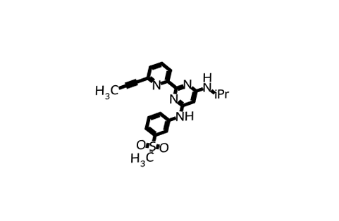 CC#Cc1cccc(-c2nc(Nc3cccc(S(C)(=O)=O)c3)cc(NC(C)C)n2)n1